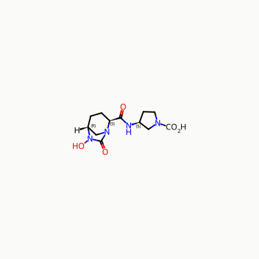 O=C(N[C@H]1CCN(C(=O)O)C1)[C@@H]1CC[C@@H]2CN1C(=O)N2O